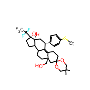 CCSc1ccc([C@H]2C[C@@]3(C)C(CC[C@@]3(O)C(F)(F)C(F)(F)F)C3CC[C@@]4(CO)CC5(CCC4=C32)OCC(C)(C)CO5)cc1